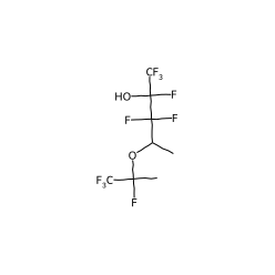 CC(OC(C)(F)C(F)(F)F)C(F)(F)C(O)(F)C(F)(F)F